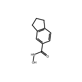 O=C(NO)c1ccc2c(c1)CCC2